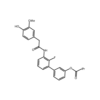 COc1cc(CC(=O)Nc2cccc(-c3cccc(OC(=O)C(C)C)c3)c2F)ccc1O